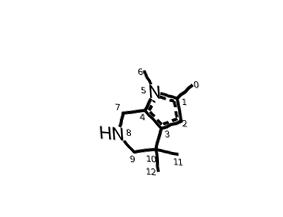 Cc1cc2c(n1C)CNCC2(C)C